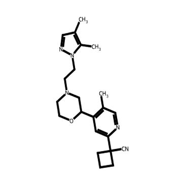 Cc1cnc(C2(C#N)CCC2)cc1C1CN(CCn2ncc(C)c2C)CCO1